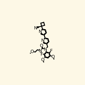 COCCN(C)C(=O)N(Cc1ccc(-c2ccc(C3(C#N)CCC3)nc2)nc1)c1c(F)c(OC)cc(OC)c1F